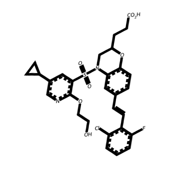 O=C(O)CCC1CN(S(=O)(=O)c2cc(C3CC3)cnc2OCCO)c2cc(C=Cc3c(F)cccc3Cl)ccc2O1